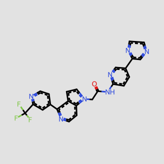 O=C(Cn1ccc2c(-c3ccnc(C(F)(F)F)c3)nccc21)Nc1ccc(-c2cnccn2)cn1